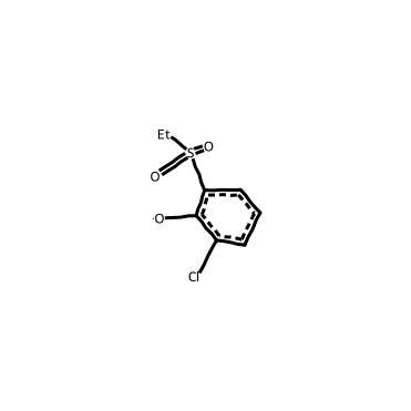 CCS(=O)(=O)c1cccc(Cl)c1[O]